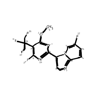 COc1nc(-c2cnc3ccc(F)cn23)nc(F)c1C(F)(F)F